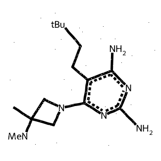 CNC1(C)CN(c2nc(N)nc(N)c2CCC(C)(C)C)C1